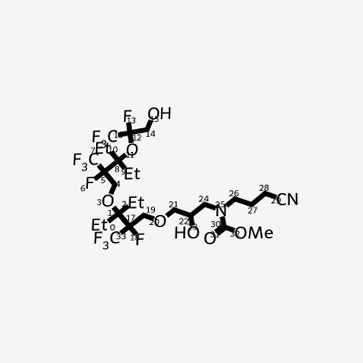 CCC(CC)(OCC(F)(C(F)(F)F)C(CC)(CC)OC(F)(CO)C(F)(F)F)C(F)(COCC(O)CN(CCCC#N)C(=O)OC)C(F)(F)F